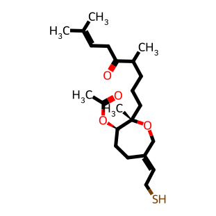 CC(=O)O[C@@H]1CC/C(=C\CS)CO[C@@]1(C)CCCC(C)C(=O)CC=C(C)C